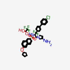 N[C@H]1CCN(C(=O)[C@H](NS(=O)(=O)c2ccc3cc(OC4CCCC4)ccc3c2)C(F)(F)c2ccc(-c3ccc(Cl)cc3)cc2)C1.O=C(O)C(F)(F)F